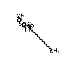 CCCCCCCCCCCCCCCCCCNC(=O)NC(=O)c1ccc(Sc2ccc(O)cc2)cc1